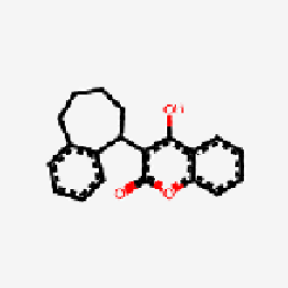 O=c1oc2ccccc2c(O)c1C1CCCCc2ccccc21